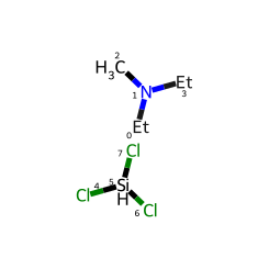 CCN(C)CC.Cl[SiH](Cl)Cl